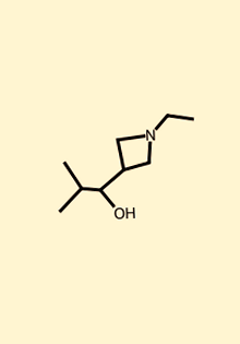 CCN1CC(C(O)C(C)C)C1